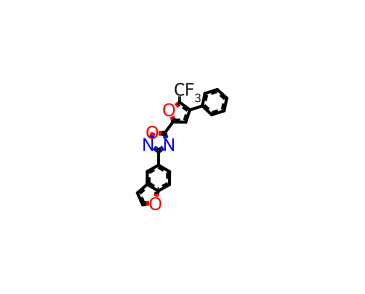 FC(F)(F)c1oc(-c2nc(-c3ccc4occc4c3)no2)cc1-c1ccccc1